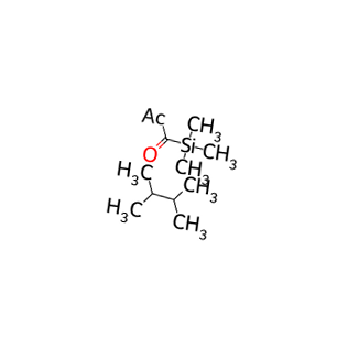 CC(=O)C(=O)[Si](C)(C)C.CC(C)C(C)C